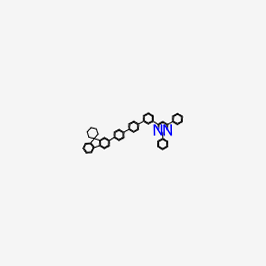 c1ccc(-c2cc(-c3cccc(-c4ccc(-c5ccc(-c6ccc7c(c6)C6(CCCCC6)c6ccccc6-7)cc5)cc4)c3)nc(-c3ccccc3)n2)cc1